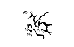 Br.Br.CCCC[n+]1c(C=C(C)C(=O)[O-])c[nH]c1C=C(C)C(=O)[O-].CCCC[n+]1cc[nH]c1